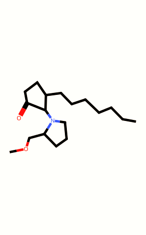 CCCCCCCC1CCC(=O)C1N1CCCC1COC